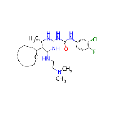 CC1NC(NC(=O)Nc2ccc(F)c(Cl)c2)NC(NCCN(C)C)C1C1CCCCCCCCC1